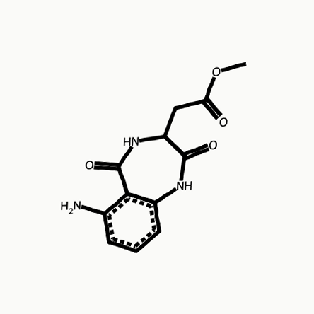 COC(=O)CC1NC(=O)c2c(N)cccc2NC1=O